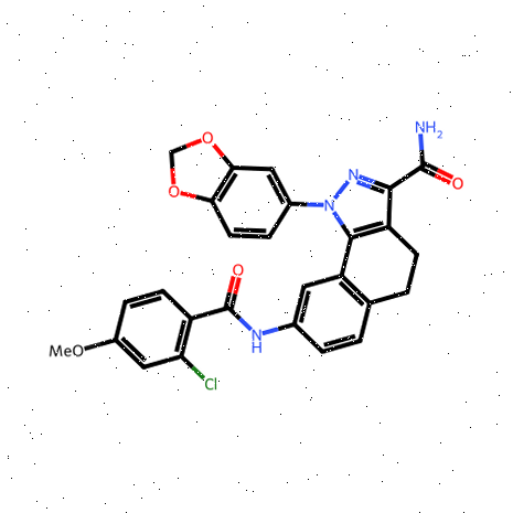 COc1ccc(C(=O)Nc2ccc3c(c2)-c2c(c(C(N)=O)nn2-c2ccc4c(c2)OCO4)CC3)c(Cl)c1